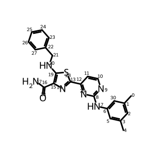 Cc1cc(C)cc(Nc2nccc(-c3nc(C(N)=O)c(NCc4ccccc4)s3)n2)c1